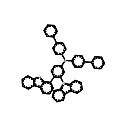 c1ccc(-c2ccc(N(c3ccc(-c4ccccc4)cc3)c3ccc(-c4cccc5c4oc4ccccc45)c(-n4c5ccccc5c5ccccc54)c3)cc2)cc1